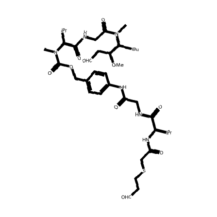 CCC(C)C(C(CC=O)OC)N(C)C(=O)CNC(=O)C(C(C)C)N(C)C(=O)OCc1ccc(NC(=O)CNC(=O)C(NC(=O)CSCCC=O)C(C)C)cc1